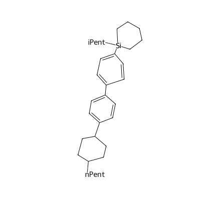 CCCCCC1CCC(c2ccc(-c3ccc([Si]4(C(C)CCC)CCCCC4)cc3)cc2)CC1